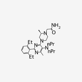 CCCN(CCC)c1c(C)nc(-c2c(CC)cccc2CC)nc1N1CCN(CC(N)=O)[C@H](C)C1